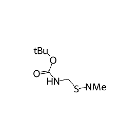 CNSCNC(=O)OC(C)(C)C